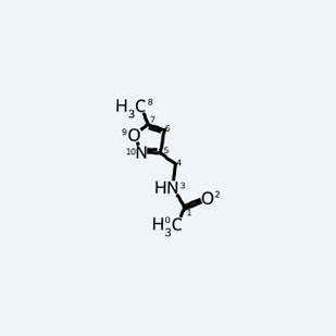 CC(=O)NCc1cc(C)on1